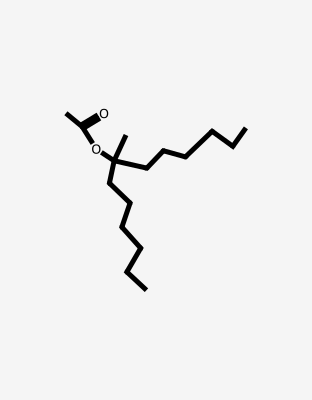 CCCCCCC(C)(CCCCCC)OC(C)=O